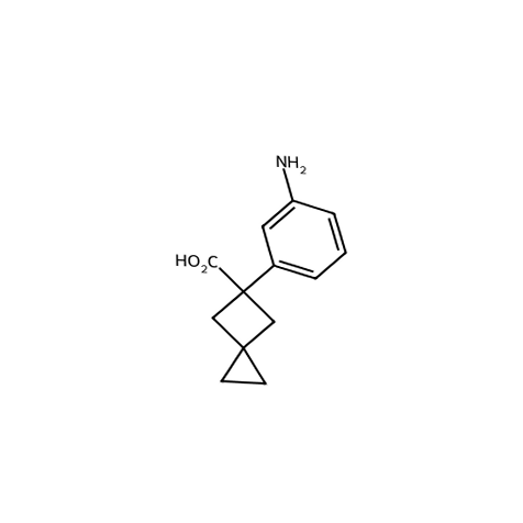 Nc1cccc(C2(C(=O)O)CC3(CC3)C2)c1